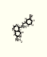 Nc1cc2ncnc(NCc3cccc(Br)c3)c2cn1